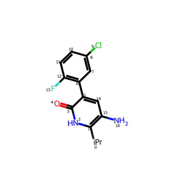 CC(C)c1[nH]c(=O)c(-c2cc(Cl)ccc2F)cc1N